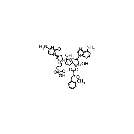 CO[C@@H](Cc1ccccc1)C(=O)O[C@@H]1C(COP(=O)(O)[C@H]2C[C@H](n3ccc(N)nc3=O)O[C@@H]2COP(=O)(O)O)O[C@@H](n2cnc3c(N)ncnc32)[C@@H]1O